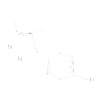 Cn1nnn(-c2ccc(O)cc2)c1=S